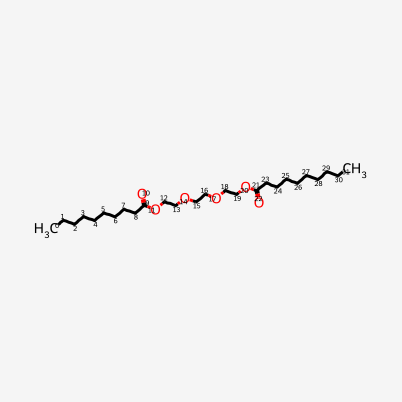 CCCCCCCCCC(=O)OCCOCCOCCOC(=O)CCCCCCCCC